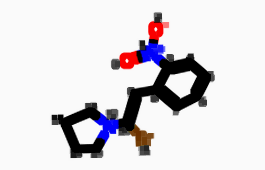 O=[N+]([O-])c1ccccc1C=C(Br)N1CCCC1